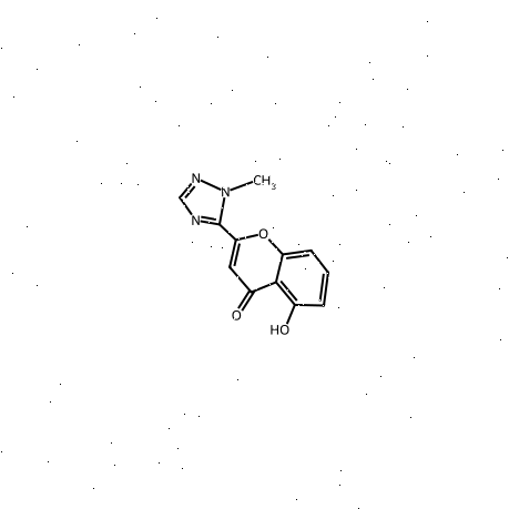 Cn1ncnc1-c1cc(=O)c2c(O)cccc2o1